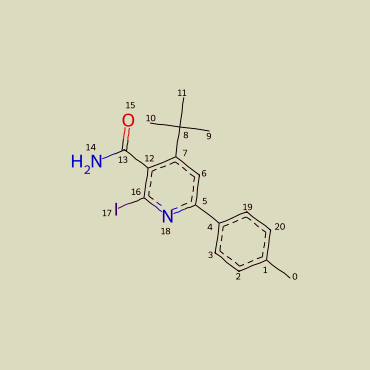 Cc1ccc(-c2cc(C(C)(C)C)c(C(N)=O)c(I)n2)cc1